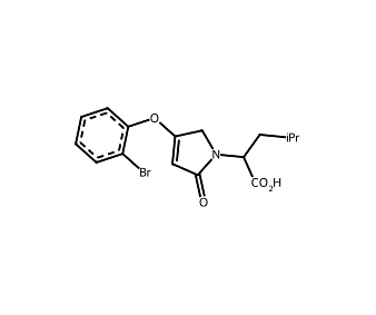 CC(C)CC(C(=O)O)N1CC(Oc2ccccc2Br)=CC1=O